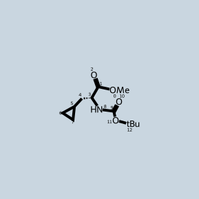 COC(=O)[C@@H](CC1CC1)NC(=O)OC(C)(C)C